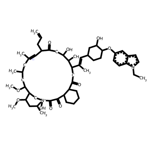 C=CCC1/C=C(\C)CC(C)CC(OC)C2C[N+](O)(C(=O)C(=O)C3CCCCC3C(=O)CC(C(C)=CC3CCC(Oc4ccc5c(ccn5CC)c4)C(O)C3)C(C)C(O)CC1=O)C(C)CC2OC